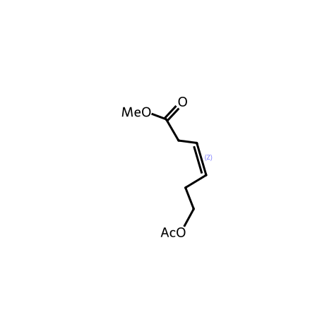 COC(=O)C/C=C\CCOC(C)=O